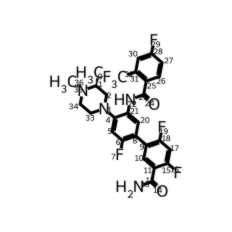 C[C@H]1CN(c2cc(F)c(-c3cc(C(N)=O)c(F)cc3F)cc2NC(=O)c2ccc(F)cc2C(F)(F)F)CCN1C